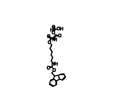 O=C(NCCCCCCO[PH](=O)O[PH](=O)O[PH](=O)O)OCC1c2ccccc2C2C=CC=CC21